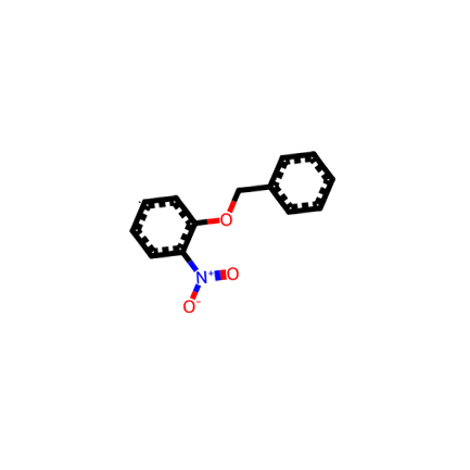 O=[N+]([O-])c1cc[c]cc1OCc1ccccc1